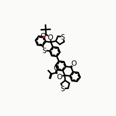 C=C(C)C(=O)OC1(C2CCSC2)c2ccccc2C(=O)c2cc(-c3ccc4c(c3)Sc3ccccc3C4(OC(=O)C(C)(C)C)C3CCSC3)ccc21